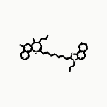 CCCC1C=C(/C=C/C=C/C=C/C=C2\Oc3c(ccc4ccccc34)N2CCC)Oc2c(cc(C)c3ccccc23)C1C